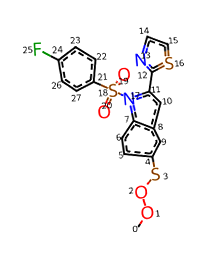 COOSc1ccc2c(c1)cc(-c1nccs1)n2S(=O)(=O)c1ccc(F)cc1